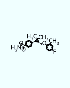 Cc1cc(F)ccc1OC[C@@H]1[C@@H](c2ccc(S(N)(=O)=O)cc2)C1(C)C